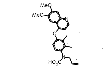 C=CCN(C(=O)O)c1ccc(Oc2ccnc3cc(OC)c(OC)cc23)c(C)c1C